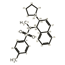 Cc1ccc(S(=O)(=O)N(C)[C@@H]2c3ccccc3C=C[C@@H]2N2CCCC2)cc1